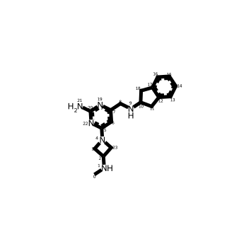 CNC1CN(c2cc(CNC3Cc4ccccc4C3)nc(N)n2)C1